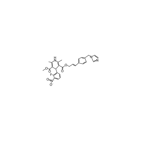 COC(=O)C1=C(C)NC(C)=C(C(=O)OCC=Cc2ccc(Cn3ccnc3)cc2)C1c1cccc([N+](=O)[O-])c1F